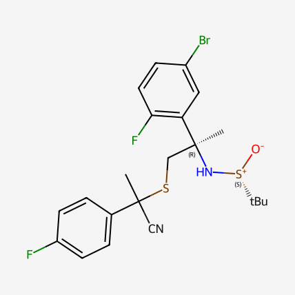 CC(C#N)(SC[C@](C)(N[S@+]([O-])C(C)(C)C)c1cc(Br)ccc1F)c1ccc(F)cc1